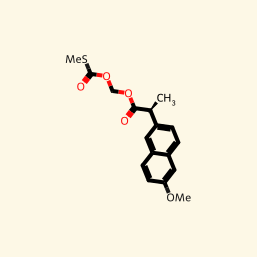 COc1ccc2cc([C@H](C)C(=O)OCOC(=O)SC)ccc2c1